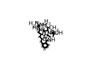 CC(C)[C@H](NC(=O)[C@H](CC(=O)O)NC(=O)c1ccccc1CCCCCCNC(=N)N)C(=O)O